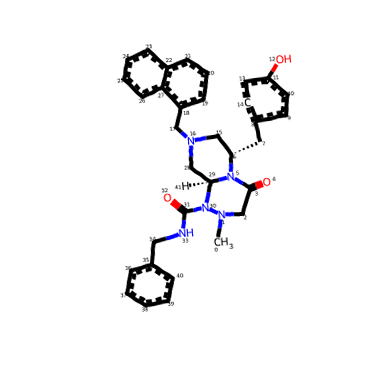 CN1CC(=O)N2[C@@H](Cc3ccc(O)cc3)CN(Cc3cccc4ccccc34)C[C@@H]2N1C(=O)NCc1ccccc1